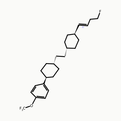 FCC/C=C/[C@H]1CC[C@H](CC[C@H]2CC[C@H](c3ccc(OC(F)(F)F)cc3)CC2)CC1